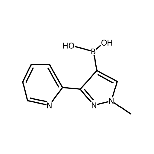 Cn1cc(B(O)O)c(-c2ccccn2)n1